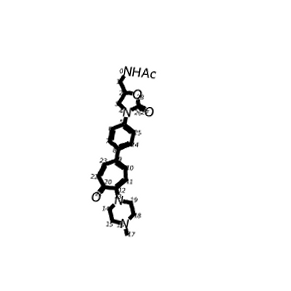 CC(=O)NCC1CN(c2ccc(-c3ccc(N4CCN(C)CC4)c(=O)cc3)cc2)C(=O)O1